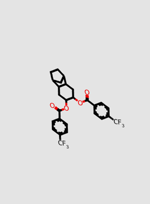 O=C(OC1CC2C3CCC(C3)C2CC1OC(=O)c1ccc(C(F)(F)F)cc1)c1ccc(C(F)(F)F)cc1